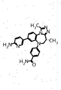 Cc1nnc2n1-c1ccc(-c3ccc(N)nc3)cc1N(c1ccc(C(N)=O)cc1)C[C@H]2C